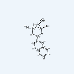 O[C@@H]1C[C@H]2C[C@H]1CN(c1ncc3cnccc3n1)C2